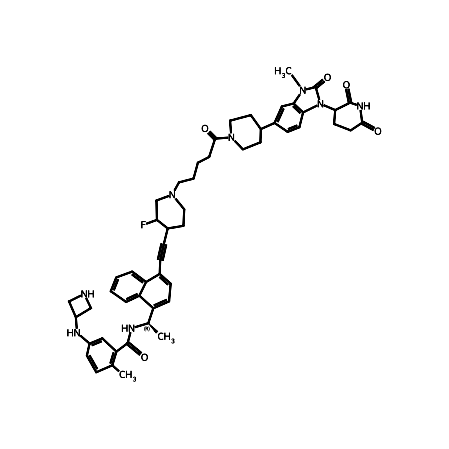 Cc1ccc(NC2CNC2)cc1C(=O)N[C@H](C)c1ccc(C#CC2CCN(CCCCC(=O)N3CCC(c4ccc5c(c4)n(C)c(=O)n5C4CCC(=O)NC4=O)CC3)CC2F)c2ccccc12